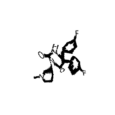 CN1CC[C@H](N2C(=O)NC(c3ccc(F)cc3)(c3ccc(F)cc3)C2=O)C1